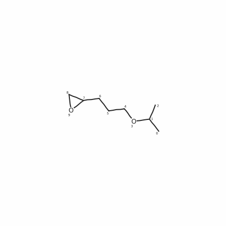 CC(C)OCCCC1CO1